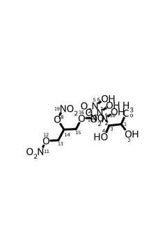 CC(O)CO.O=[N+]([O-])O.O=[N+]([O-])O.O=[N+]([O-])O.O=[N+]([O-])OCC(CO[N+](=O)[O-])O[N+](=O)[O-]